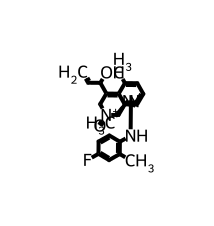 C=CC(O)C1=C2C(C)=CC=C3N=C(Nc4ccc(F)cc4C)N(C)C32C[N+](=O)C1